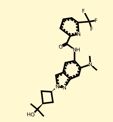 CN(C)c1cc2nn([C@H]3C[C@H](C(C)(C)O)C3)cc2cc1NC(=O)c1cccc(C(F)(F)F)n1